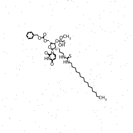 CCCCCCCCCCCCCCCNC(=S)NCCC[C@H]1C(OP(O)(=S)OC)[C@@H](COC(=O)OCc2ccccc2)O[C@H]1n1ccc(=O)[nH]c1=O